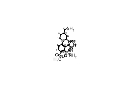 CS(=O)(=O)c1ccc(N2CCC(CN)CC2)c(-c2nnn[nH]2)c1S(N)(=O)=O